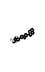 C/C=C\C1=C(CC)C(C)(C)[C@@H]2C=C(c3ccc4c(c3)C(C)(C)c3cc(-c5ccc6ccc7cccc8ccc5c6c78)ccc3-4)C=CC12I